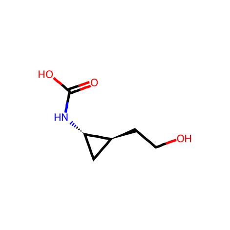 O=C(O)N[C@H]1C[C@@H]1CCO